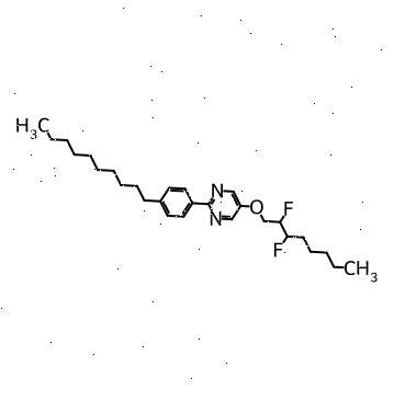 CCCCCCCCCCc1ccc(-c2ncc(OCC(F)C(F)CCCCC)cn2)cc1